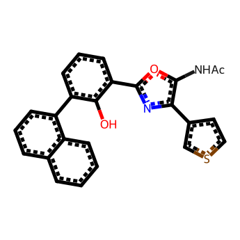 CC(=O)Nc1oc(-c2cccc(-c3cccc4ccccc34)c2O)nc1-c1ccsc1